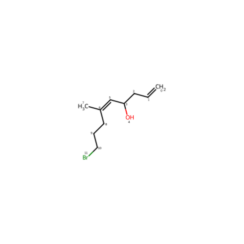 C=CCC(O)C=C(C)CCCBr